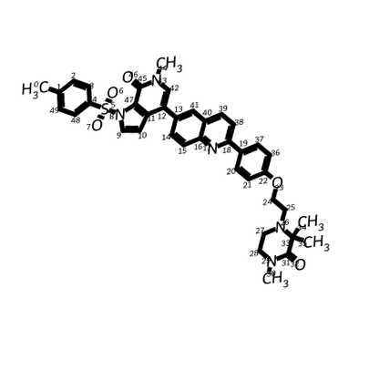 Cc1ccc(S(=O)(=O)n2ccc3c(-c4ccc5nc(-c6ccc(OCCN7CCN(C)C(=O)C7(C)C)cc6)ccc5c4)cn(C)c(=O)c32)cc1